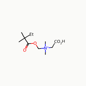 CCC(C)(C)C(=O)OC[N+](C)(C)CC(=O)O